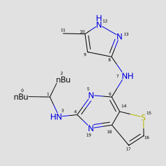 CCCCC(CCCC)Nc1nc(Nc2cc(C)[nH]n2)c2sccc2n1